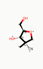 C[C@]1(C#N)CO[C@H](CO)[C@H]1O